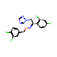 Clc1ccc(C(Cn2cncn2)=NOCc2ccc(Cl)c(Cl)c2)c(Cl)c1